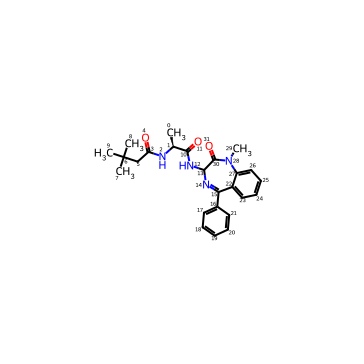 C[C@H](NC(=O)CC(C)(C)C)C(=O)NC1N=C(c2ccccc2)c2ccccc2N(C)C1=O